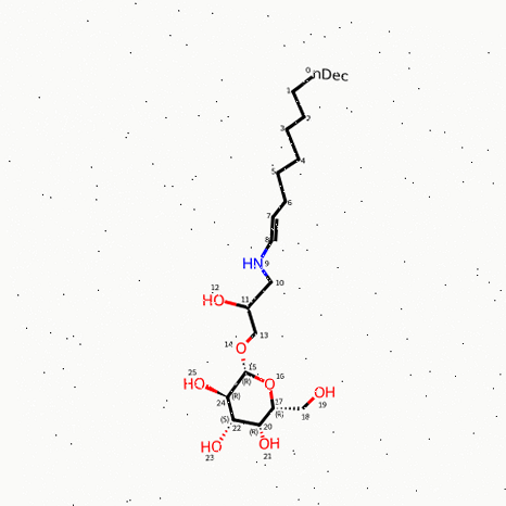 CCCCCCCCCCCCCCCCC=CNCC(O)CO[C@@H]1O[C@H](CO)[C@H](O)[C@H](O)[C@H]1O